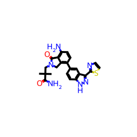 CC(C)(CN1Cc2c(-c3ccc4[nH]nc(-c5nccs5)c4c3)ccc(N)c2C1=O)C(N)=O